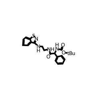 CC(C)(C)OC(=O)NC(C(=O)NCCNc1nsc2ccccc12)c1ccccc1